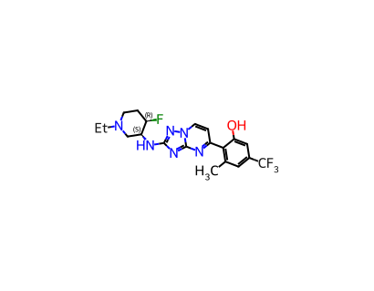 CCN1CC[C@@H](F)[C@@H](Nc2nc3nc(-c4c(C)cc(C(F)(F)F)cc4O)ccn3n2)C1